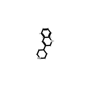 C1=C(C2CCNCC2)COc2ccccc21